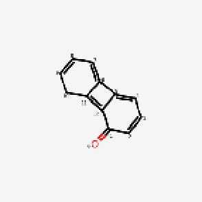 O=C1C=CC=C2C3=CC=CCC3=C12